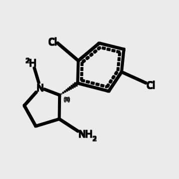 [2H]N1CCC(N)[C@H]1c1cc(Cl)ccc1Cl